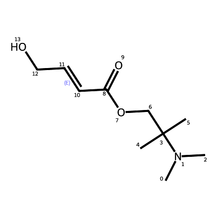 CN(C)C(C)(C)COC(=O)/C=C/CO